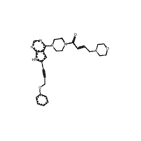 O=C(/C=C/CN1CCOCC1)N1CCN(c2ncnc3[nH]c(C#CCOc4ccccc4)cc23)CC1